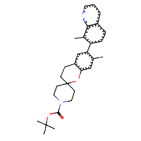 Cc1cc2c(cc1-c1ccc3cccnc3c1C)CCC1(CCN(C(=O)OC(C)(C)C)CC1)O2